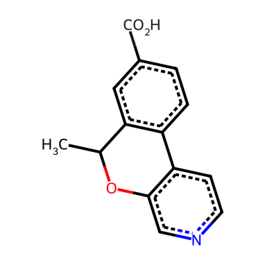 CC1Oc2cnccc2-c2ccc(C(=O)O)cc21